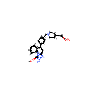 O=c1[nH]nc2cc(-c3ccc(CN4CCC(CO)CC4)cc3)c3ccccc3n12